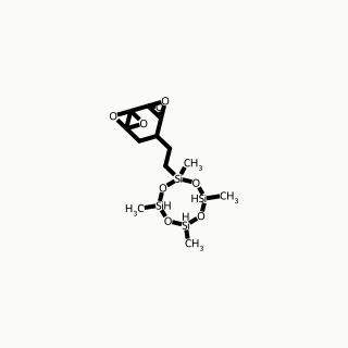 C[SiH]1O[SiH](C)O[Si](C)(CCC2CC34OC3(O4)C34OC23O4)O[SiH](C)O1